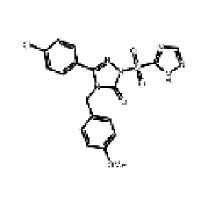 COc1ccc(Cn2c(-c3ccc(Cl)cc3)nn(S(=O)(=O)c3ncn[nH]3)c2=O)cc1